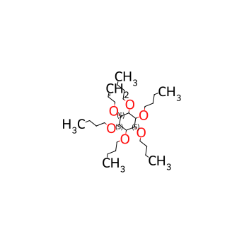 C=CCO[C@H]1C(OCCCC)C(OCCCC)[C@H](OCCCC)C(OCCCC)[C@@H]1OCCCC